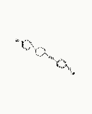 CCCOc1ccc(C#CC2=CCC(c3ccc(CC)cc3)CC2)cc1